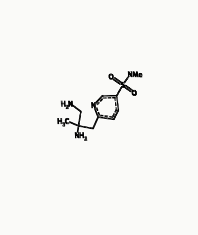 CNS(=O)(=O)c1ccc(CC(C)(N)CN)nc1